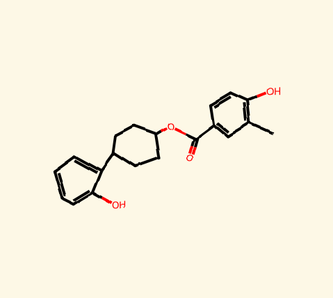 Cc1cc(C(=O)OC2CCC(c3ccccc3O)CC2)ccc1O